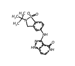 CC(C)(C)N1Cc2cc(Nc3n[nH]c4cc[nH]c(=O)c34)ccc2S1(=O)=O